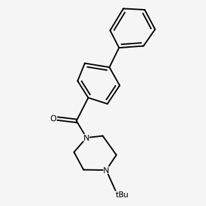 CC(C)(C)N1CCN(C(=O)c2ccc(-c3ccccc3)cc2)CC1